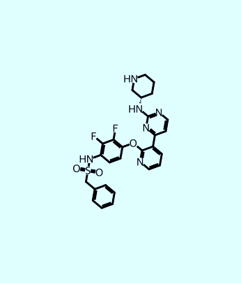 O=S(=O)(Cc1ccccc1)Nc1ccc(Oc2ncccc2-c2ccnc(N[C@H]3CCCNC3)n2)c(F)c1F